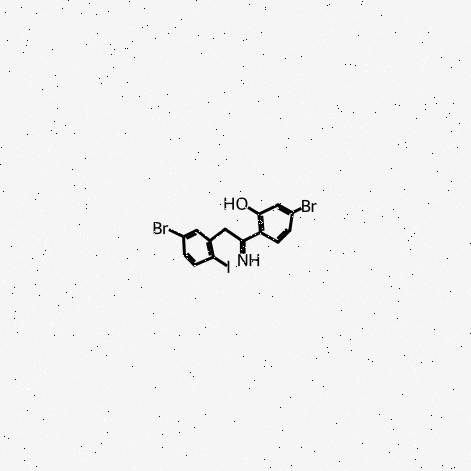 N=C(Cc1cc(Br)ccc1I)c1ccc(Br)cc1O